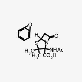 CC(=O)NC1(C(=O)O)N2C(=O)C[C@H]2SC1(C)C.c1ccc2c(c1)O2